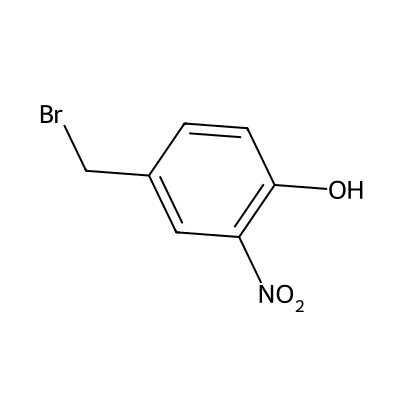 O=[N+]([O-])c1cc(CBr)ccc1O